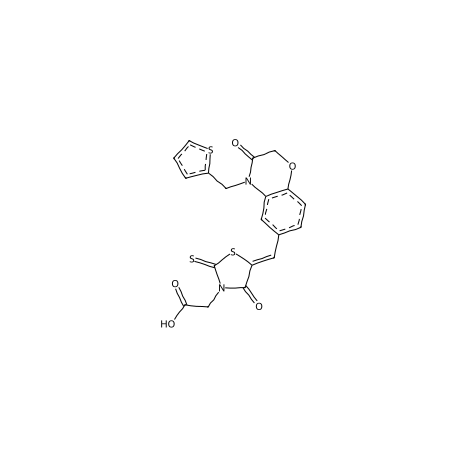 O=C(O)CN1C(=O)C(=Cc2ccc3c(c2)N(Cc2cccs2)C(=O)CO3)SC1=S